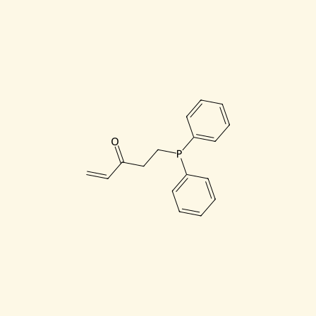 C=CC(=O)CCP(c1ccccc1)c1ccccc1